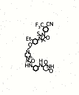 CCc1cc(N2C(=S)N(c3ccc(C#N)c(C(F)(F)F)c3)C(=O)C2(C)C)ccc1OCCN1CCN([C@@H](C)C(=O)Nc2cccc(NC3CCC(=O)NC3=O)c2)[C@@H](C)C1